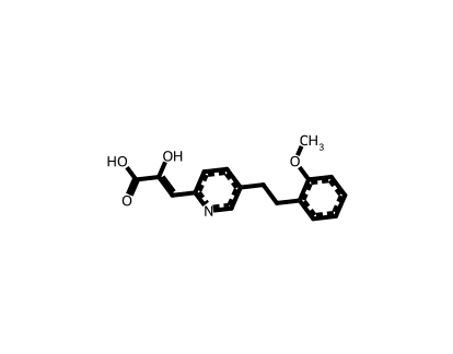 COc1ccccc1CCc1ccc(/C=C(\O)C(=O)O)nc1